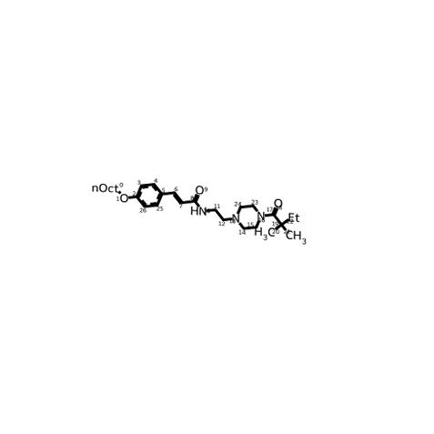 CCCCCCCCOc1ccc(/C=C/C(=O)NCCN2CCN(C(=O)C(C)(C)CC)CC2)cc1